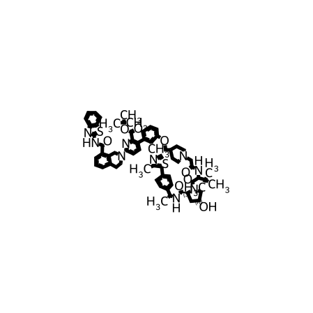 Cc1ncsc1-c1ccc(C(C)NC(=O)[C@@H]2C[C@@H](O)CN2C(=O)C(NC(=O)CN2CCC(COc3cccc(-c4ccc(N5CCc6cccc(C(=O)Nc7nc8ccccc8s7)c6C5)nc4C(=O)OC(C)(C)C)c3C)CC2)C(C)(C)C)cc1